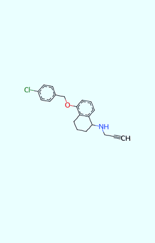 C#CCNC1CCCc2c(OCc3ccc(Cl)cc3)cccc21